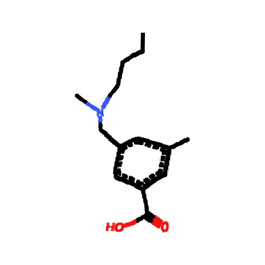 CCCCN(C)Cc1cc(C)cc(C(=O)O)c1